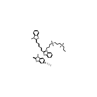 C=C1Sc2ccccc2N1C.CCC[N+](C)(C)CCC[N+](C)(C)CCC[n+]1c(C=CC=CC=C2Sc3ccccc3N2C)sc2ccccc21.I.[I-].[I-].[I-]